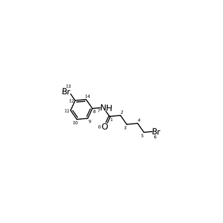 O=C(CCCCBr)Nc1cccc(Br)c1